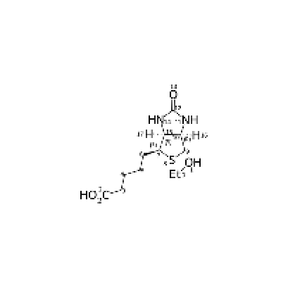 CCO.O=C(O)CCCC[C@@H]1SC[C@@H]2NC(=O)N[C@@H]21